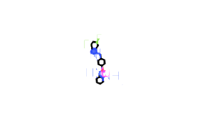 Nc1ccccc1NC(=O)c1ccc(Cn2ncc3c(F)cc(F)cc32)cc1